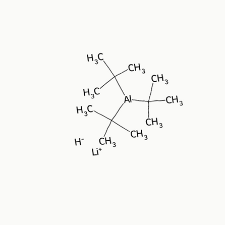 C[C](C)(C)[Al]([C](C)(C)C)[C](C)(C)C.[H-].[Li+]